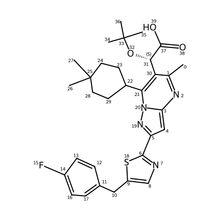 Cc1nc2cc(-c3ncc(Cc4ccc(F)cc4)s3)nn2c(C2CCC(C)(C)CC2)c1[C@H](OC(C)(C)C)C(=O)O